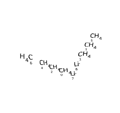 C.C.C.C.C.C.C.[Li].[Li]